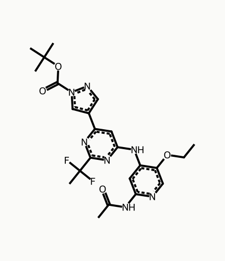 CCOc1cnc(NC(C)=O)cc1Nc1cc(-c2cnn(C(=O)OC(C)(C)C)c2)nc(C(C)(F)F)n1